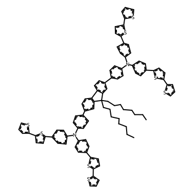 CCCCCCCCC1(CCCCCCCC)c2cc(-c3ccc(N(c4ccc(-c5ccc(-c6cccs6)s5)cc4)c4ccc(-c5ccc(-c6cccs6)s5)cc4)cc3)ccc2-c2ccc(-c3ccc(N(c4ccc(-c5ccc(-c6cccs6)s5)cc4)c4ccc(-c5ccc(-c6cccs6)s5)cc4)cc3)cc21